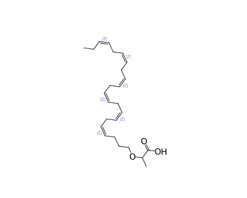 CC/C=C\C/C=C\C/C=C\C/C=C\C/C=C\C/C=C\CCCOC(C)C(=O)O